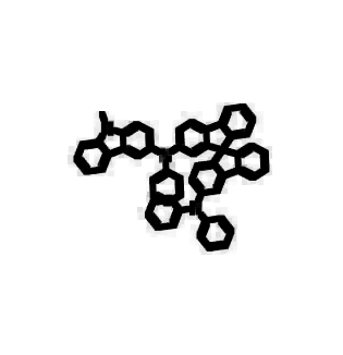 Cn1c2ccccc2c2cc(N(c3ccccc3)c3ccc4c(c3)C3(c5ccccc5-c5cc(N(c6ccccc6)c6ccccc6)ccc53)c3ccccc3-4)ccc21